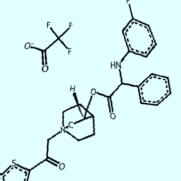 O=C(C[N+]12CCC(CC1)[C@@H](OC(=O)C(Nc1cccc(F)c1)c1ccccc1)C2)c1cccs1.O=C([O-])C(F)(F)F